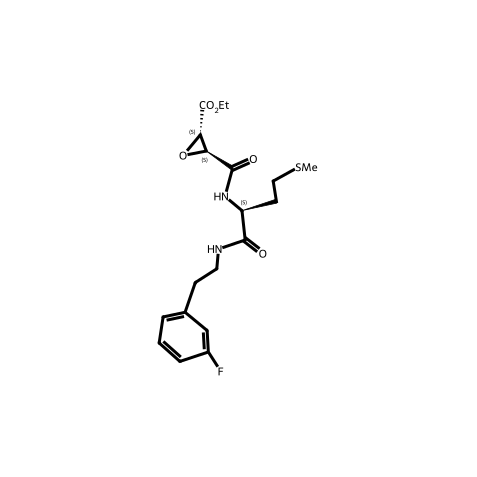 CCOC(=O)[C@H]1O[C@@H]1C(=O)N[C@@H](CCSC)C(=O)NCCc1cccc(F)c1